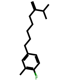 C=C(CCCCCc1ccc(F)c(C)c1)C(C)C